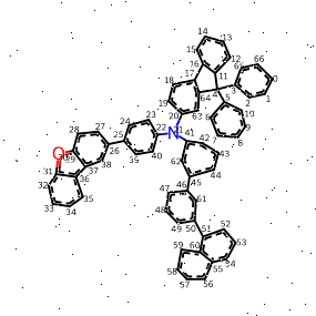 c1ccc(C2(c3ccccc3)c3ccccc3-c3ccc(N(c4ccc(-c5ccc6oc7ccccc7c6c5)cc4)c4cccc(-c5cccc(-c6cccc7ccccc67)c5)c4)cc32)cc1